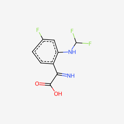 N=C(C(=O)O)c1ccc(F)cc1NC(F)F